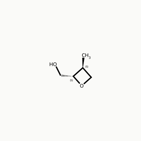 C[C@H]1CO[C@@H]1CO